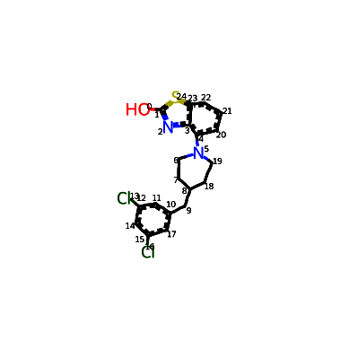 Oc1nc2c(N3CCC(Cc4cc(Cl)cc(Cl)c4)CC3)cccc2s1